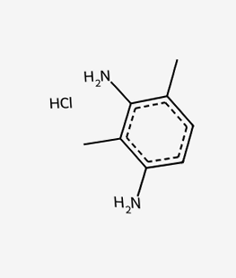 Cc1ccc(N)c(C)c1N.Cl